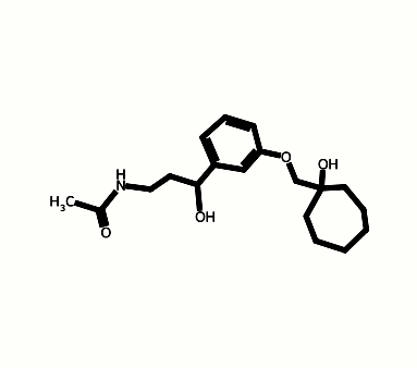 CC(=O)NCCC(O)c1cccc(OCC2(O)CCCCCC2)c1